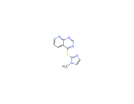 Cn1ccnc1Sc1ncnc2ncccc12